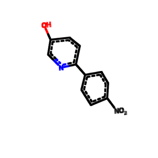 O=[N+]([O-])c1ccc(-c2ccc(O)cn2)cc1